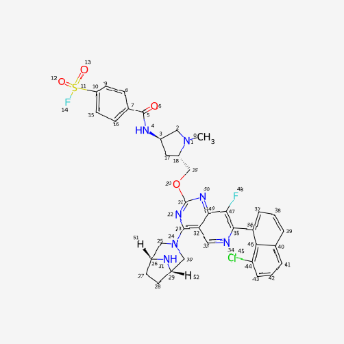 CN1C[C@H](NC(=O)c2ccc(S(=O)(=O)F)cc2)C[C@H]1COc1nc(N2C[C@H]3CC[C@@H](C2)N3)c2cnc(-c3cccc4cccc(Cl)c34)c(F)c2n1